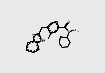 CN(C(=O)c1ccc(Cc2nc3ccccc3[nH]2)c(F)c1)C1CCCCC1